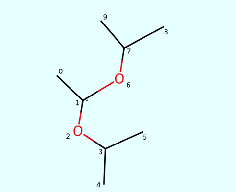 C[C](OC(C)C)OC(C)C